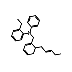 CCC=CCC1CC=CC=C1CN(c1ccccc1)c1ccccc1CC